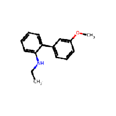 [CH2]CNc1ccccc1-c1cccc(OC)c1